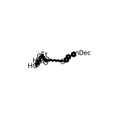 CCCCCCCCCCc1ccc(-c2ccc3cc(OCCCCCCCCOC(=O)C(C)CC(CC)C(=O)OOOOOO)ccc3c2)cc1